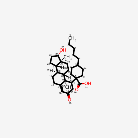 CCCCCC1CCC(C(=O)O)(C2CC(=O)C=C3CC[C@H]4[C@@H]5CC[C@H](O)[C@@]5(C)CC[C@@H]4[C@]32C)CC1